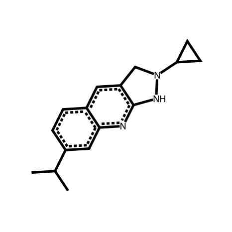 CC(C)c1ccc2cc3c(nc2c1)NN(C1CC1)C3